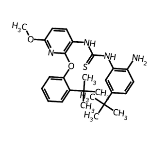 COc1ccc(NC(=S)Nc2cc(C(C)(C)C)ccc2N)c(Oc2ccccc2C(C)(C)C)n1